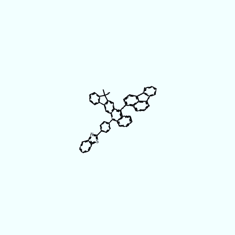 CC1(C)c2ccccc2-c2cc3c(-c4ccc(-c5nc6ccccc6s5)cc4)c4ccccc4c(-c4ccc5c6c(cccc46)-c4ccccc4-5)c3cc21